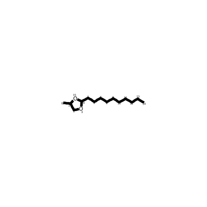 [CH2]C1COC(CCCCCCCCCC)O1